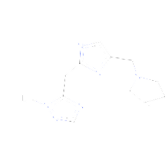 CCn1ncnc1Cc1ncc(CN2CC[C@H](C)C2)[nH]1